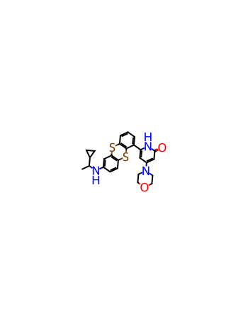 CC(Nc1ccc2c(c1)Sc1cccc(-c3cc(N4CCOCC4)cc(=O)[nH]3)c1S2)C1CC1